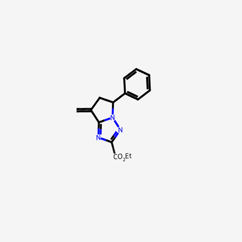 C=C1CC(c2ccccc2)n2nc(C(=O)OCC)nc21